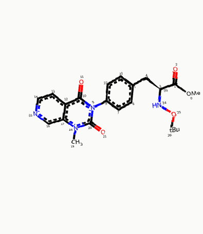 COC(=O)[C@H](Cc1ccc(-n2c(=O)c3ccncc3n(C)c2=O)cc1)NOC(C)(C)C